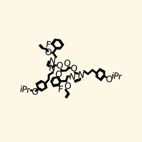 C=CCOC(CN1C=CN(CCCc2ccc(OC(C)C)cc2)C1OC(=O)CC(=O)OC1N(CCCc2ccc(OC(C)C)cc2)C=CN1CC(OCC=C)c1ccccc1F)c1ccccc1F